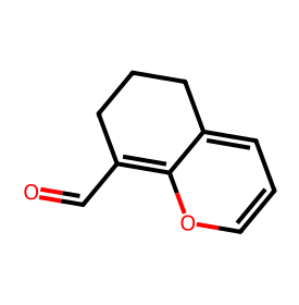 O=CC1=C2OC=CC=C2CCC1